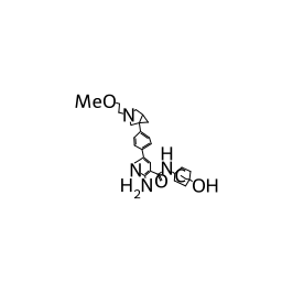 COCCN1CC2CC2(c2ccc(-c3cnc(N)c(C(=O)NC45CCC(O)(CC4)CC5)c3)cc2)C1